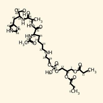 CCCC(=O)OC(COC(=O)CC)COP(=O)(O)OCCNCCCCC(NC(C)=O)C(=O)NC(C)C(=O)NC(Cc1c[nH]cn1)C(=O)O